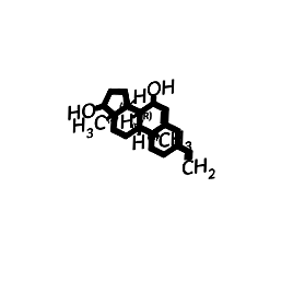 C=CC1CC[C@@]2(C)C(=CC(O)[C@@H]3[C@H]2CC[C@]2(C)C(O)CC[C@@H]32)C1